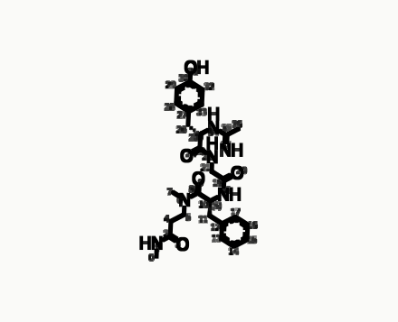 CNC(=O)CCN(C)C(=O)[C@H](Cc1ccccc1)NC(=O)CNC(=O)[C@H](Cc1ccc(O)cc1)NC(C)=N